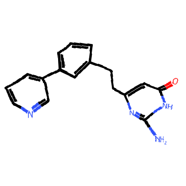 Nc1nc(CCc2cccc(-c3cccnc3)c2)cc(=O)[nH]1